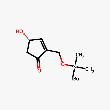 CC(C)(C)[Si](C)(C)OCC1=C[C@@H](O)CC1=O